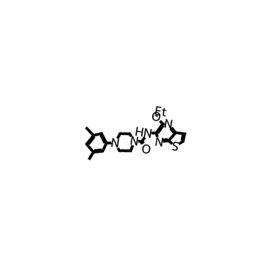 CCOc1nc2ccsc2nc1NC(=O)N1CCN(c2cc(C)cc(C)c2)CC1